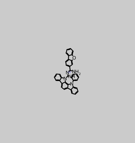 N=C(/N=C(\N)c1ccc2c(c1)oc1ccccc12)n1c2ccccc2c2ccc3c4ccccc4n(-c4ccccc4)c3c21